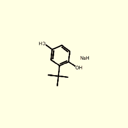 CC(C)(C)c1cc(O)ccc1O.[NaH]